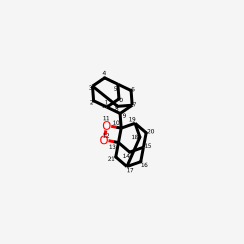 C1[C]2CC3CC1CC(C3)C2C12OOC13CC1CC(CC2C1)C3